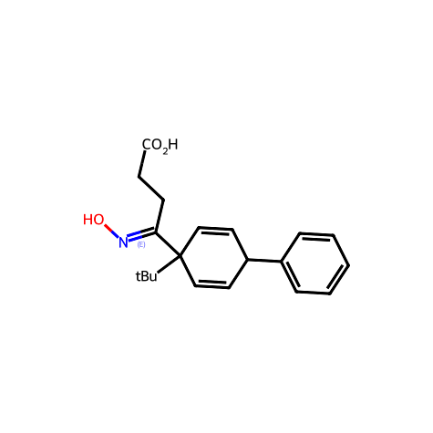 CC(C)(C)C1(/C(CCC(=O)O)=N/O)C=CC(c2ccccc2)C=C1